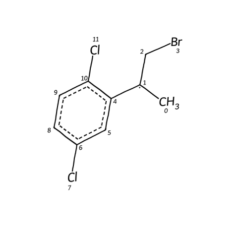 C[C](CBr)c1cc(Cl)ccc1Cl